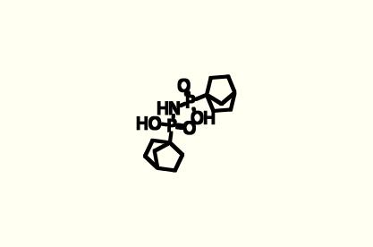 O=P(O)(NP(=O)(O)C12CCC(CC1)C2)C12CCC(CC1)C2